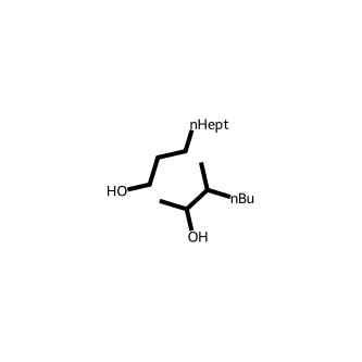 CCCCC(C)C(C)O.CCCCCCCCCCO